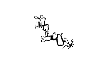 Cc1c(OC(F)(F)F)ccc2c(Cl)c(C(=O)N3CCC4(COC(=O)N4)C3)sc12